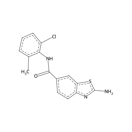 Cc1cccc(Cl)c1NC(=O)c1ccc2nc(N)sc2c1